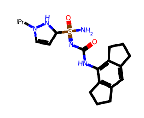 CC(C)N1C=CC(S(N)(=O)=NC(=O)Nc2c3c(cc4c2CCC4)CCC3)N1